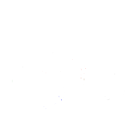 [N-]=[N+]=C(S(=O)(=O)c1ccccc1C(F)(F)F)S(=O)(=O)C1CCCC1